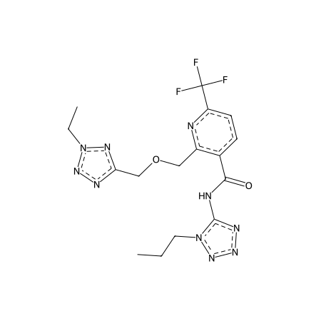 CCCn1nnnc1NC(=O)c1ccc(C(F)(F)F)nc1COCc1nnn(CC)n1